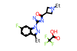 CCc1nn(-c2noc(C3CN(CC)C3)n2)c2cc(F)ccc12.O=C(O)C(F)(F)F